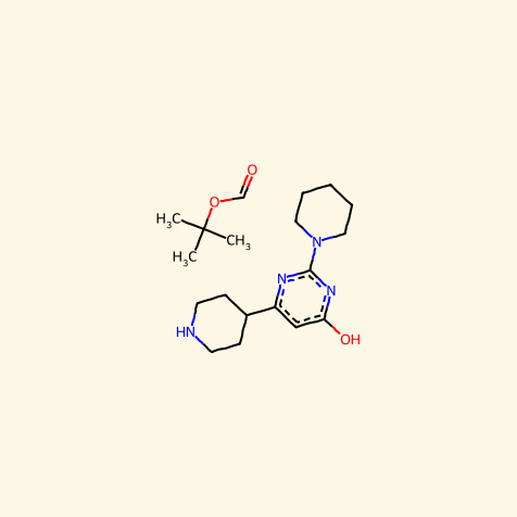 CC(C)(C)OC=O.Oc1cc(C2CCNCC2)nc(N2CCCCC2)n1